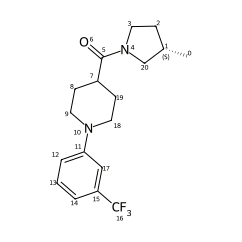 C[C@H]1CCN(C(=O)C2CCN(c3cccc(C(F)(F)F)c3)CC2)C1